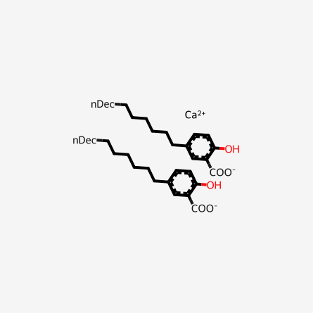 CCCCCCCCCCCCCCCCc1ccc(O)c(C(=O)[O-])c1.CCCCCCCCCCCCCCCCc1ccc(O)c(C(=O)[O-])c1.[Ca+2]